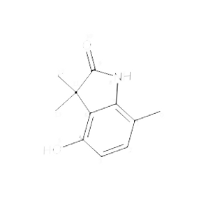 Cc1ccc(O)c2c1NC(=O)C2(C)C